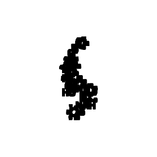 Cc1c(Nc2nc3ccccc3s2)nnc2c1CCCN2c1ccc(-c2cnn(CC34CC5(C)CC(OCCN6CCCC6)(CC3(C)C5)C4)c2C)c(C(=O)O)n1